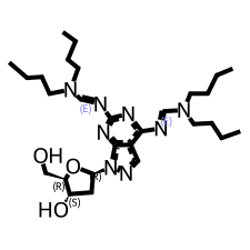 CCCCN(/C=N/c1nc(/N=C/N(CCCC)CCCC)c2cnn([C@H]3C[C@H](O)[C@@H](CO)O3)c2n1)CCCC